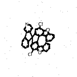 Clc1cc2c(c3c1oc1ccccc13)-c1c(cc(Cl)c3oc4ccccc4c13)C21c2ccccc2-c2cnccc21